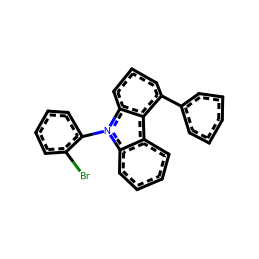 Brc1ccccc1-n1c2ccccc2c2c(-c3ccccc3)cccc21